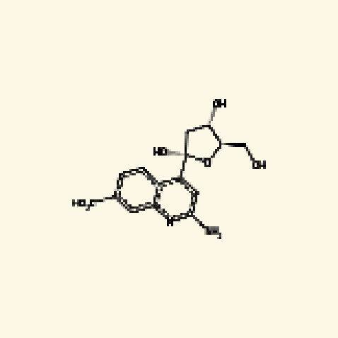 Nc1cc([C@@]2(O)C[C@H](O)[C@@H](CO)O2)c2ccc(C(=O)O)cc2n1